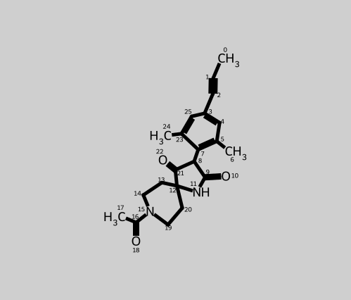 CC#Cc1cc(C)c(C2C(=O)NC3(CCN(C(C)=O)CC3)C2=O)c(C)c1